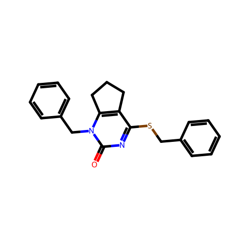 O=c1nc(SCc2ccccc2)c2c(n1Cc1ccccc1)CCC2